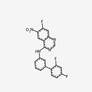 O=[N+]([O-])c1cc2c(Nc3cccc(-c4ccc(F)cc4F)c3)ncnc2cc1F